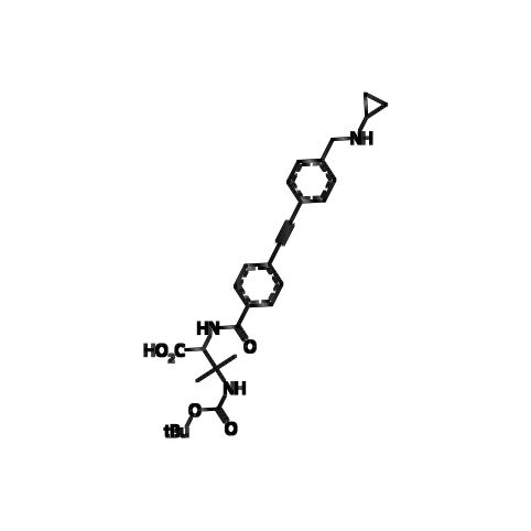 CC(C)(C)OC(=O)NC(C)(C)C(NC(=O)c1ccc(C#Cc2ccc(CNC3CC3)cc2)cc1)C(=O)O